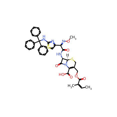 C/C=C(/C)C(=O)OCC1=C(C(=O)O)N2C(=O)[C@@H](NC(=O)/C(=N\OC)c3csc(NC(c4ccccc4)(c4ccccc4)c4ccccc4)n3)[C@H]2SC1